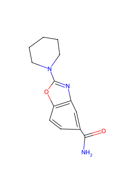 NC(=O)c1ccc2oc(N3CCCCC3)nc2c1